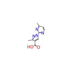 Cc1ccnc(-n2cc(C(=O)O)c(C)n2)n1